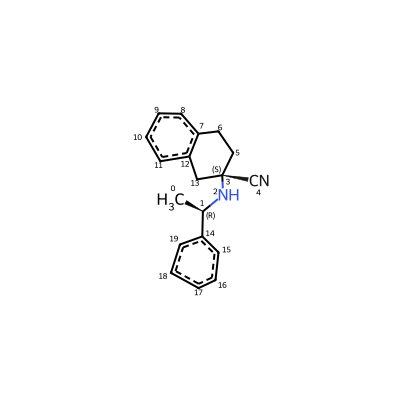 C[C@@H](N[C@@]1(C#N)CCc2ccccc2C1)c1ccccc1